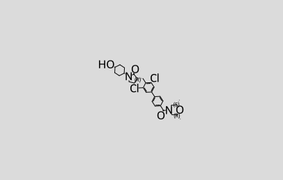 C[C@@H]1CN(C(=O)c2ccc(-c3cc(Cl)c(C[C@@H]4CCN([C@H]5CC[C@@H](O)CC5)C4=O)c(Cl)c3)cc2)C[C@H](C)O1